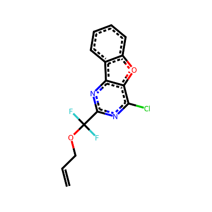 C=CCOC(F)(F)c1nc(Cl)c2oc3ccccc3c2n1